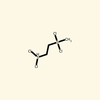 CS(Cl)(Cl)CC[SH](Cl)Cl